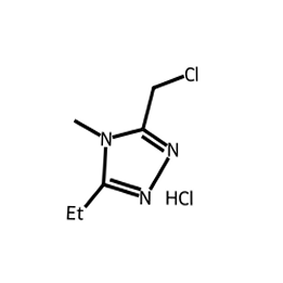 CCc1nnc(CCl)n1C.Cl